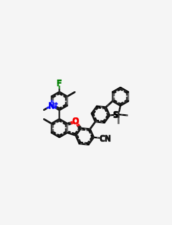 Cc1cc(-c2c(C)ccc3c2oc2c(-c4ccc5c(c4)[Si](C)(C)c4ccccc4-5)c(C#N)ccc23)[n+](C)cc1F